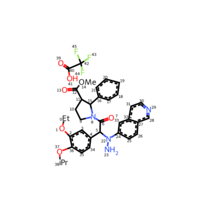 CCOc1cc(C(C(=O)N2CCC(C(=O)OC)C2c2ccccc2)N(N)c2ccc3cnccc3c2)ccc1OC(C)C.O=C(O)C(F)(F)F